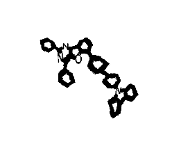 c1ccc(-c2nc(-c3ccccc3)c3oc4c(-c5ccc(-c6ccc(-n7c8ccccc8c8ccccc87)cc6)cc5)cccc4c3n2)cc1